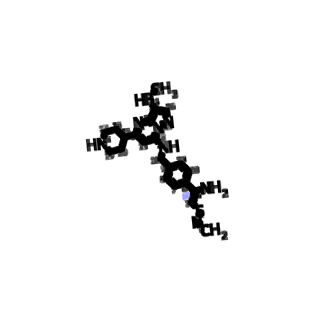 C=NS/C=C(\N)c1ccc(CNc2cc(C3CCNCC3)nc3c(BC)cnn23)cc1